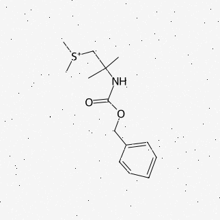 C[S+](C)CC(C)(C)NC(=O)OCc1ccccc1